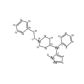 Cn1nccc1N(c1ccccc1)C1CCN(CCc2ccccc2)CC1